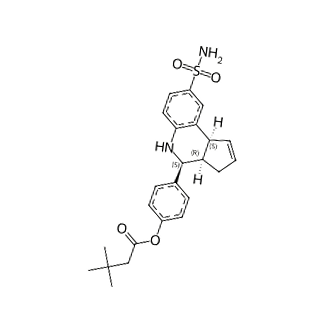 CC(C)(C)CC(=O)Oc1ccc([C@H]2Nc3ccc(S(N)(=O)=O)cc3[C@H]3C=CC[C@H]32)cc1